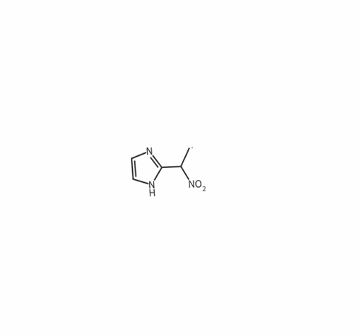 [CH2]C(c1ncc[nH]1)[N+](=O)[O-]